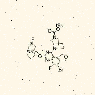 CC(C)(C)OC(=O)N1CC2N(c3nc(OC[C@@]45CCCN4C[C@H](F)C5)nc4c(F)c(Br)c5c(c34)COC5)C3CCC32C1